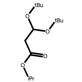 CC(C)OC(=O)CC(OC(C)(C)C)OC(C)(C)C